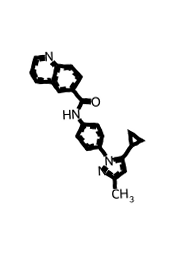 Cc1cc(C2CC2)n(-c2ccc(NC(=O)c3ccc4ncccc4c3)cc2)n1